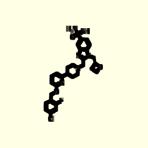 N=S(N)(=O)c1ccc2c(c1)nc(CN1CCC(c3cccc(OCc4ccc(Cl)cc4F)n3)CC1)n2C[C@@H]1CCO1